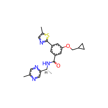 Cc1cnc([C@@H](C)NC(=O)c2cc(OCC3CC3)cc(-c3ncc(C)s3)c2)cn1